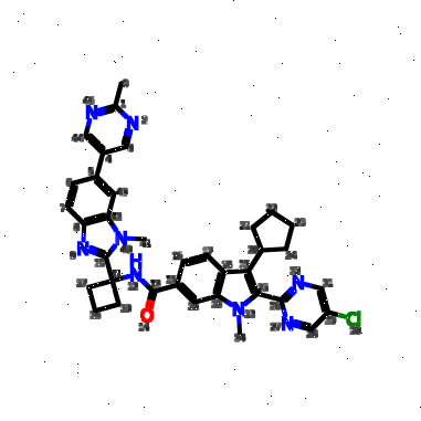 Cc1ncc(-c2ccc3nc(C4(NC(=O)c5ccc6c(C7CCCC7)c(-c7ncc(Cl)cn7)n(C)c6c5)CCC4)n(C)c3c2)cn1